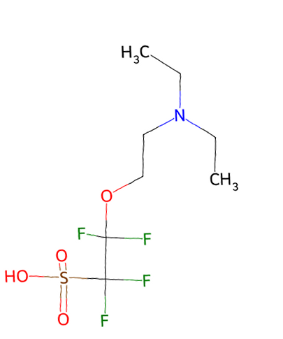 CCN(CC)CCOC(F)(F)C(F)(F)S(=O)(=O)O